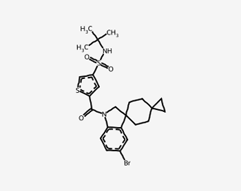 CC(C)(C)NS(=O)(=O)c1csc(C(=O)N2CC3(CCC4(CC4)CC3)c3cc(Br)ccc32)c1